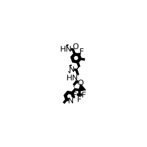 CNC(=O)c1ccc(C[C@@H](CNC(=O)C[C@@H](c2ccc(C)nc2)C2(C(F)(F)F)CC2)N(C)C)c(C)c1F